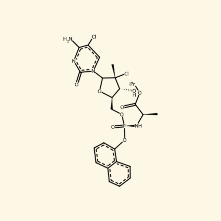 CC(C)OC(=O)[C@@H](C)N[P@@](=O)(OC[C@H]1OC(n2cc(Cl)c(N)nc2=O)[C@](C)(Cl)[C@@H]1O)Oc1cccc2ccccc12